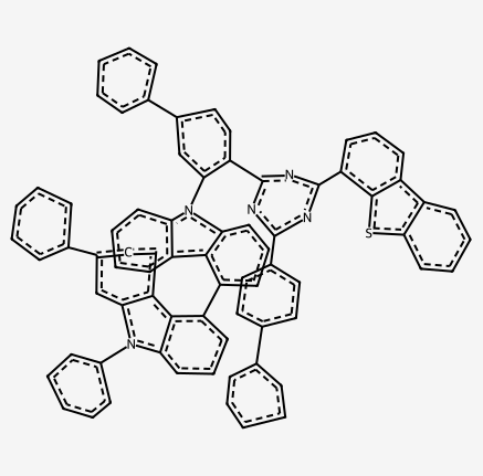 c1ccc(-c2ccc(-c3nc(-c4ccc(-c5ccccc5)cc4-n4c5ccccc5c5c(-c6cccc7c6c6ccc(-c8ccccc8)cc6n7-c6ccccc6)cccc54)nc(-c4cccc5c4sc4ccccc45)n3)cc2)cc1